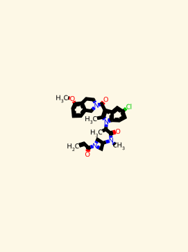 C=CC(=O)N1CC(N(C)C(=O)C(C)n2c(C)c(C(=O)N3CCc4c(cccc4OC)C3)c3cc(Cl)ccc32)C1